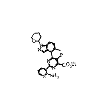 CCOC(=O)c1nc(-c2cccnc2N)nc(-c2c(C)ccc3c2cnn3C2CCCCO2)c1F